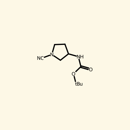 CC(C)(C)OC(=O)NC1CCN(C#N)C1